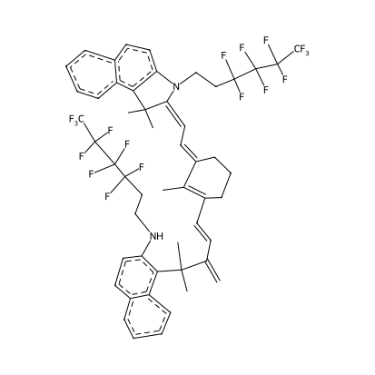 C=C(/C=C/C1=C(C)C(=C/C=C2/N(CCC(F)(F)C(F)(F)C(F)(F)C(F)(F)F)c3ccc4ccccc4c3C2(C)C)/CCC1)C(C)(C)c1c(NCCC(F)(F)C(F)(F)C(F)(F)C(F)(F)F)ccc2ccccc12